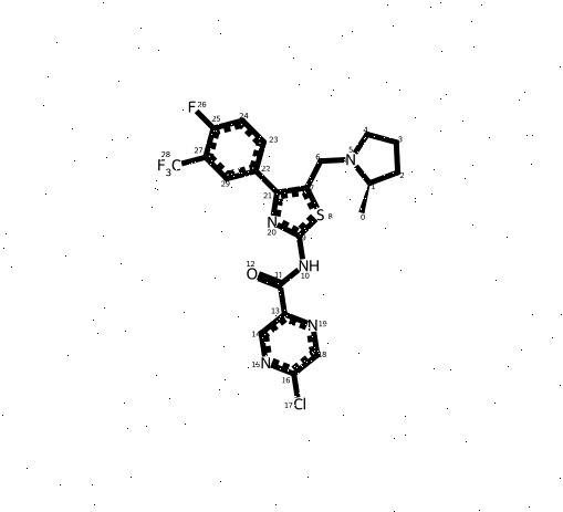 C[C@@H]1CCCN1Cc1sc(NC(=O)c2cnc(Cl)cn2)nc1-c1ccc(F)c(C(F)(F)F)c1